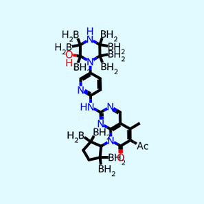 BC1(B)CCC(B)(B)C1n1c(=O)c(C(C)=O)c(C)c2cnc(Nc3ccc(N4C(B)(B)C(B)(B)NC(B)(B)C4(B)O)cn3)nc21